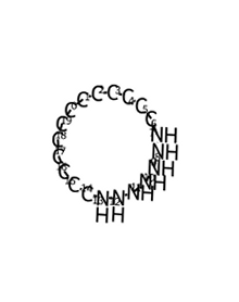 C1CCCCCCNNNNNNNCCCCCC1